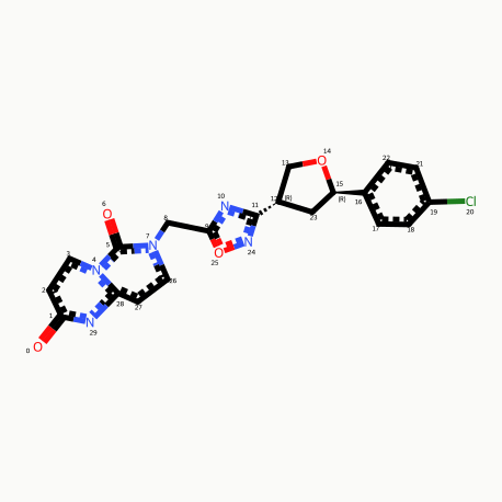 O=c1ccn2c(=O)n(Cc3nc([C@@H]4CO[C@@H](c5ccc(Cl)cc5)C4)no3)ccc2n1